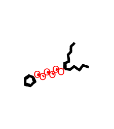 CCCCCC=C(CCCCC)OOOOOOc1ccccc1